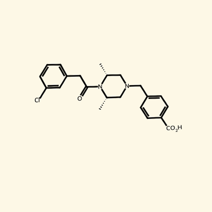 C[C@@H]1CN(Cc2ccc(C(=O)O)cc2)C[C@H](C)N1C(=O)Cc1cccc(Cl)c1